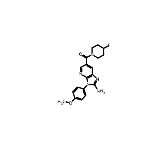 COc1ccc(-n2c(N)nc3cc(C(=O)N4CCC(F)CC4)cnc32)cc1